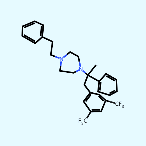 [CH2]C(Cc1cc(C(F)(F)F)cc(C(F)(F)F)c1)(c1ccccc1)N1CCN(CCc2ccccc2)CC1